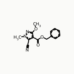 COc1nn(C)c(C#N)c1C(=O)OCc1ccccc1